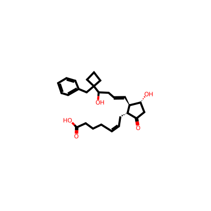 O=C(O)CCC/C=C\C[C@H]1C(=O)C[C@@H](O)[C@@H]1/C=C/CC(O)C1(Cc2ccccc2)CCC1